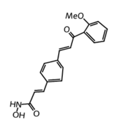 COc1ccccc1C(=O)C=Cc1ccc(C=CC(=O)NO)cc1